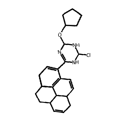 ClC1NC(C2=CCC3CCC4C=CCC5C=CC2=C3C54)=NC(OC2CCCC2)N1